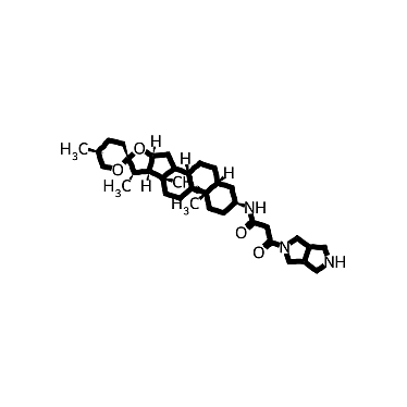 C[C@H]1CC[C@@]2(OC1)O[C@H]1CC3[C@@H]4CC[C@@H]5C[C@@H](NC(=O)CC(=O)N6CC7CNCC7C6)CC[C@]5(C)C4CC[C@]3(C)[C@H]1[C@@H]2C